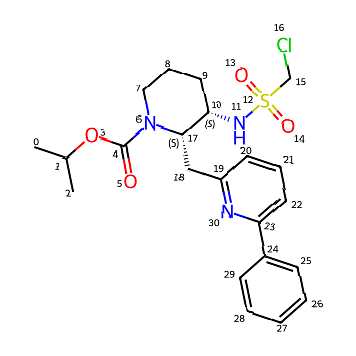 CC(C)OC(=O)N1CCC[C@H](NS(=O)(=O)CCl)[C@@H]1Cc1cccc(-c2ccccc2)n1